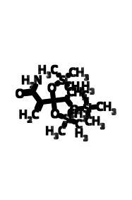 C=C(C(N)=O)C(O[Si](C)(C)C)(O[Si](C)(C)C)C(C)O[Si](C)(C)C